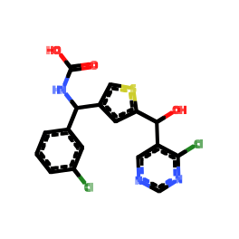 O=C(O)NC(c1cccc(Cl)c1)c1csc(C(O)c2cncnc2Cl)c1